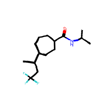 CC(C)NC(=O)C1CCCC(C(C)CC(F)(F)F)CC1